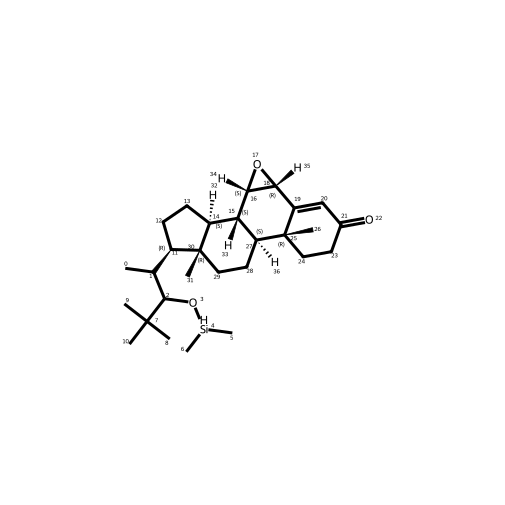 CC(C(O[SiH](C)C)C(C)(C)C)[C@H]1CC[C@H]2[C@@H]3[C@@H]4O[C@@H]4C4=CC(=O)CC[C@]4(C)[C@H]3CC[C@]12C